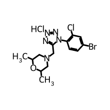 CC1CN(Cc2nnnn2-c2ccc(Br)cc2Cl)CC(C)O1.Cl